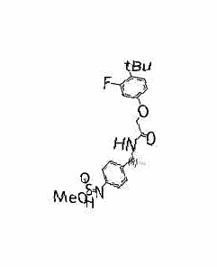 CO[SH](=O)=Nc1ccc([C@@H](C)NC(=O)COc2ccc(C(C)(C)C)c(F)c2)cc1